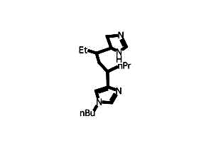 CCCCn1cnc(C(CCC)CC(CC)C2CN=CN2)c1